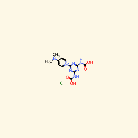 CN(C)c1cc[n+](-c2nc(NC(=O)O)nc(NC(=O)O)n2)cc1.[Cl-]